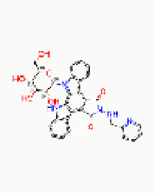 O=C1c2c(c3c4ccccc4n([C@@H]4O[C@H](CO)[C@@H](O)[C@H](O)[C@H]4O)c3c3[nH]c4ccccc4c23)C(=O)N1NCc1ccccn1